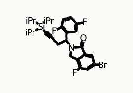 CC(C)[Si](C#CCC(c1cc(F)ccc1F)N1Cc2c(F)cc(Br)cc2C1=O)(C(C)C)C(C)C